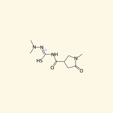 CN(C)/N=C(\S)NC(=O)C1CC(=O)N(C)C1